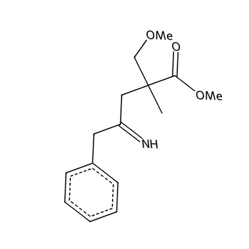 COCC(C)(CC(=N)Cc1ccccc1)C(=O)OC